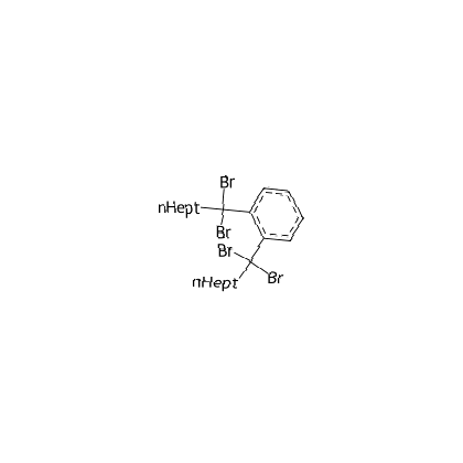 CCCCCCCC(Br)(Br)c1ccccc1C(Br)(Br)CCCCCCC